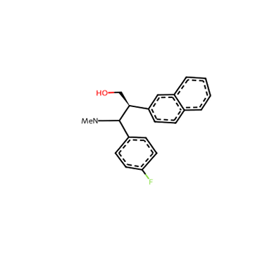 CNC(c1ccc(F)cc1)[C@@H](CO)c1ccc2ccccc2c1